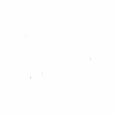 CCCCCCC(F)(C(=O)OCC)C(F)(F)F